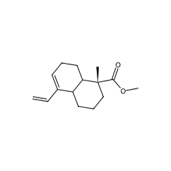 C=CC1=CCCC2C1CCC[C@@]2(C)C(=O)OC